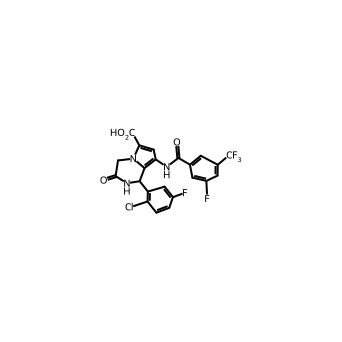 O=C1Cn2c(C(=O)O)cc(NC(=O)c3cc(F)cc(C(F)(F)F)c3)c2C(c2cc(F)ccc2Cl)N1